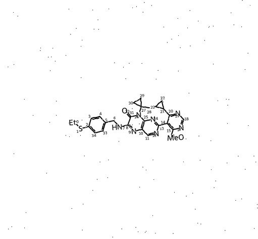 CCSc1ccc(CNc2nc3cnc(-c4c(OC)ncnc4C4CC4)nc3n(C3(C)CC3)c2=O)cc1